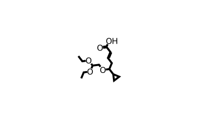 CCOC(COC(C/C=C/C(=O)O)C1CC1)OCC